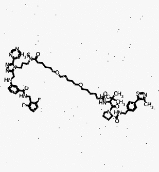 Cc1ncsc1-c1ccc(CNC(=O)[C@@H]2CCCN2C(=O)C(NC(=O)CCCCCOCCCCCOCCCCCC(=O)N(C)CCCn2c(CNc3cccc(C(=O)NCc4c(F)cccc4F)c3)nnc2-c2ccncn2)C(C)(C)C)cc1